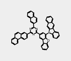 c1ccc2cc(-c3nc(-c4ccc5c(ccc6ccccc65)c4)nc(-c4cc(-n5c6ccccc6c6cc7ccccc7cc65)c5oc6ccccc6c5c4)n3)ccc2c1